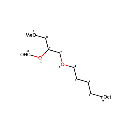 CCCCCCCCCCCCOCC(COC)OC=O